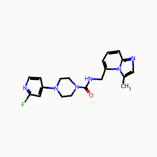 Cc1cnc2cccc(CNC(=O)N3CCN(c4ccnc(F)c4)CC3)n12